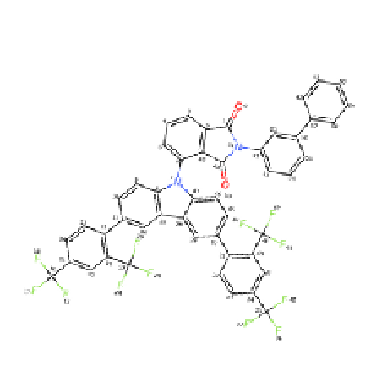 O=C1c2cccc(-n3c4ccc(-c5ccc(C(F)(F)F)cc5C(F)(F)F)cc4c4cc(-c5ccc(C(F)(F)F)cc5C(F)(F)F)ccc43)c2C(=O)N1c1cccc(-c2ccccc2)c1